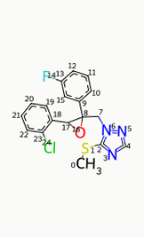 CSc1ncnn1CC1(c2cccc(F)c2)OC1c1ccccc1Cl